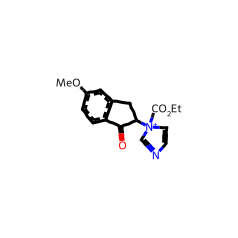 CCOC(=O)[N+]1(C2Cc3cc(OC)ccc3C2=O)C=CN=C1